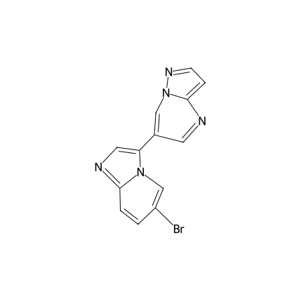 Brc1ccc2ncc(-c3cnc4ccnn4c3)n2c1